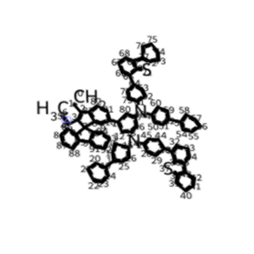 C=CC1=C(/C=C\C)C2(c3cc(-c4cc(N(c5ccc(-c6ccccc6)cc5)c5ccc(-c6cccc7c6sc6ccccc67)cc5)cc(N(c5ccc(-c6ccccc6)cc5)c5ccc(-c6cccc7c6sc6ccccc67)cc5)c4)ccc31)c1ccccc1-c1ccccc12